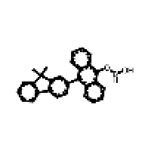 CC1(C)c2ccccc2-c2ccc(-c3c4ccccc4c(OBO)c4ccccc34)cc21